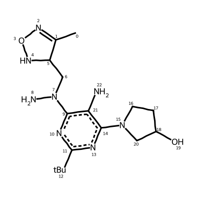 CC1=NONC1CN(N)c1nc(C(C)(C)C)nc(N2CCC(O)C2)c1N